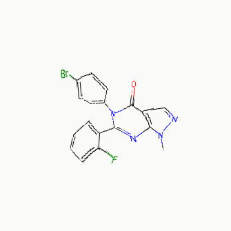 Cn1ncc2c(=O)n(-c3ccc(Br)cc3)c(-c3ccccc3F)nc21